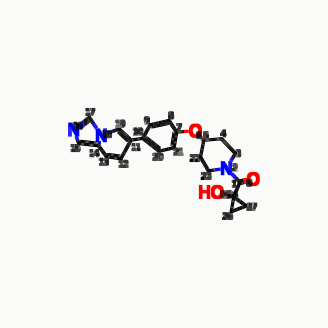 O=C(N1CCC(Oc2ccc(-c3ccc4cncn4c3)cc2)CC1)C1(O)CC1